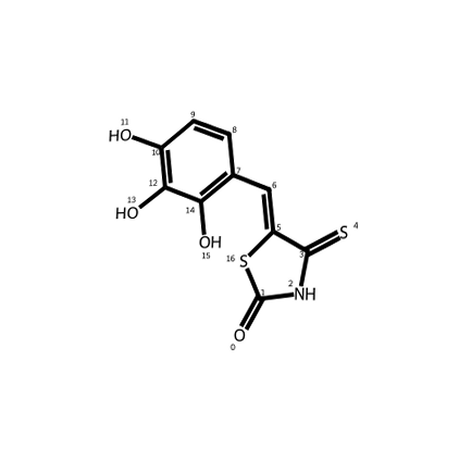 O=C1NC(=S)C(=Cc2ccc(O)c(O)c2O)S1